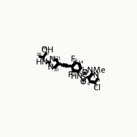 CNc1ncc(Cl)cc1S(=O)(=O)Nc1ccc(F)c(C#Cc2cnc(NC(C)CO)nc2)c1F